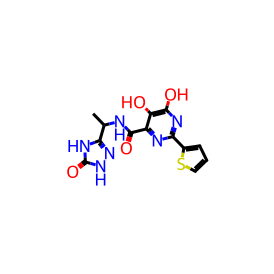 CC(NC(=O)c1nc(-c2cccs2)nc(O)c1O)c1n[nH]c(=O)[nH]1